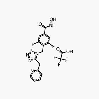 O=C(NO)c1cc(F)c(Cn2nnnc2Cc2ccccn2)c(F)c1.O=C(O)C(F)(F)F